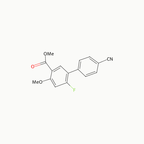 COC(=O)c1cc(-c2ccc(C#N)cc2)c(F)cc1OC